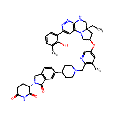 CC[C@]12CNc3nnc(-c4cccc(C)c4O)cc3N1C[C@H](Oc1cnc(CN3CCC(c4ccc5c(c4)C(=O)N([C@H]4CCC(=O)NC4=O)C5)CC3)c(C)c1)C2